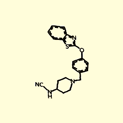 N#CNC1CCN(Cc2ccc(Oc3nc4ccccc4s3)cc2)CC1